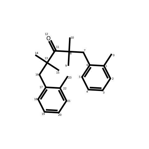 Cc1ccccc1CC(C)(C)C(=O)C(C)(C)Cc1ccccc1C